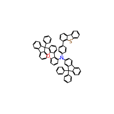 c1ccc(C2(c3ccccc3)c3ccccc3-c3ccc(N(c4ccc(-c5cccc6c5sc5ccccc56)cc4)c4cccc5oc6c(C7(c8ccccc8)c8ccccc8-c8ccccc87)cccc6c45)cc32)cc1